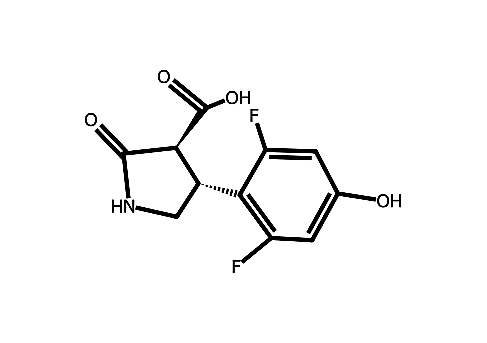 O=C(O)[C@@H]1C(=O)NC[C@H]1c1c(F)cc(O)cc1F